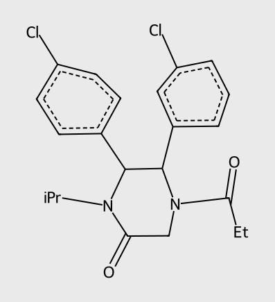 CCC(=O)N1CC(=O)N(C(C)C)C(c2ccc(Cl)cc2)C1c1cccc(Cl)c1